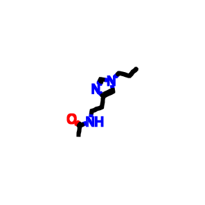 CCCn1cnc(CCNC(C)=O)c1